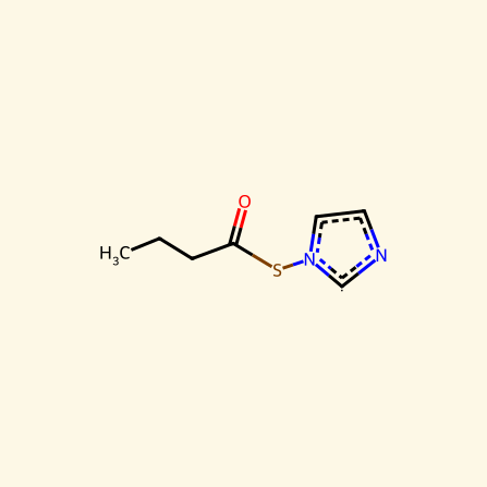 CCCC(=O)Sn1[c]ncc1